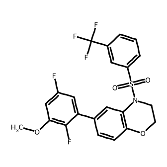 COc1cc(F)cc(-c2ccc3c(c2)N(S(=O)(=O)c2cccc(C(F)(F)F)c2)CCO3)c1F